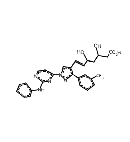 O=C(O)CC(O)CC(O)C=Cc1cn(-c2ccnc(Nc3ccccc3)n2)nc1-c1cccc(C(F)(F)F)c1